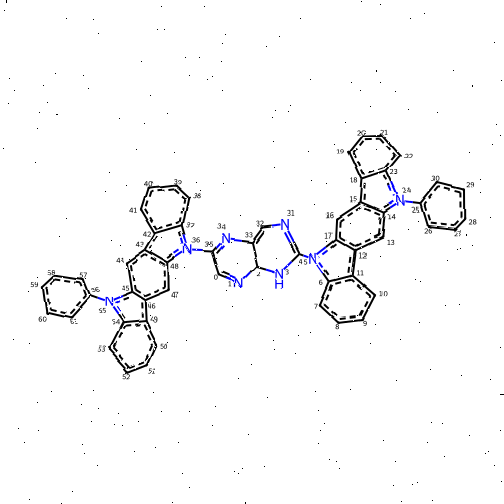 C1=NC2NC(n3c4ccccc4c4cc5c(cc43)c3ccccc3n5-c3ccccc3)=NC=C2N=C1n1c2ccccc2c2cc3c(cc21)c1ccccc1n3-c1ccccc1